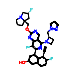 C#Cc1c(F)ccc2cc(O)cc(-c3nc(N4CC[C@@H]4Cn4cccn4)c4cnc(OC[C@@]56CCCN5C[C@H](F)C6)nc4c3F)c12